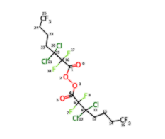 O=C(OOC(=O)C(F)(F)C(Cl)(Cl)CCCC(F)(F)F)C(F)(F)C(Cl)(Cl)CCCC(F)(F)F